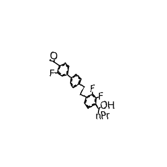 CCCC(O)c1ccc(CCc2ccc(-c3ccc(C4CO4)c(F)c3)cc2)c(F)c1F